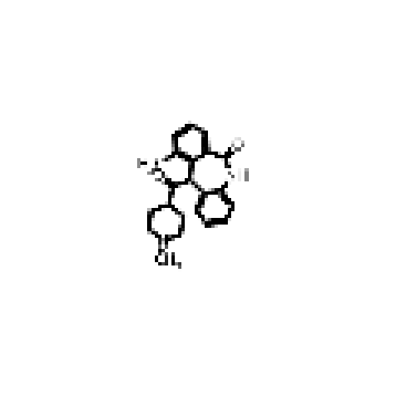 Cc1cccc2c1C(C(=O)C1CCN(C)CC1)c1ccccc1NC2=O